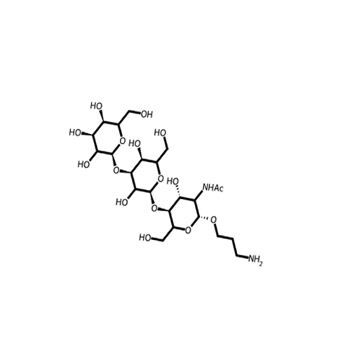 CC(=O)NC1[C@H](OCCCN)OC(CO)[C@@H](O[C@@H]2OC(CO)[C@H](O)[C@H](O[C@@H]3OC(CO)[C@H](O)[C@H](O)C3O)C2O)[C@@H]1O